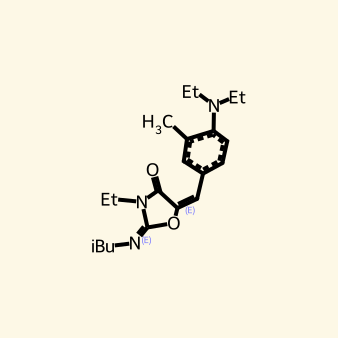 CCC(C)/N=C1/O/C(=C/c2ccc(N(CC)CC)c(C)c2)C(=O)N1CC